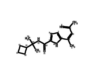 CC(=N)/C=C(/C)c1cnc(C(=O)NC(C)(C)C2CCC2)[nH]1